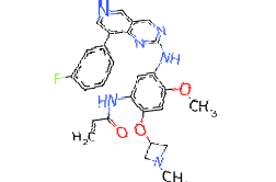 C=CC(=O)Nc1cc(Nc2ncc3cncc(-c4cccc(F)c4)c3n2)c(OC)cc1OC1CN(C)C1